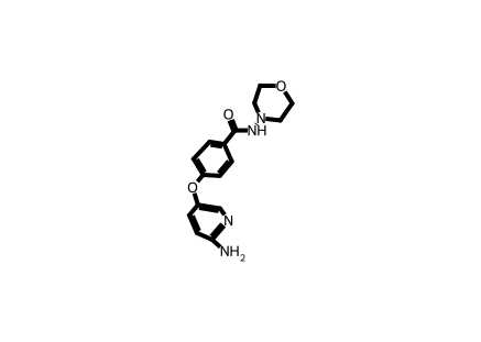 Nc1ccc(Oc2ccc(C(=O)NN3CCOCC3)cc2)cn1